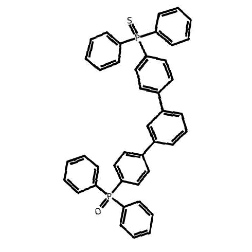 O=P(c1ccccc1)(c1ccccc1)c1ccc(-c2cccc(-c3ccc(P(=S)(c4ccccc4)c4ccccc4)cc3)c2)cc1